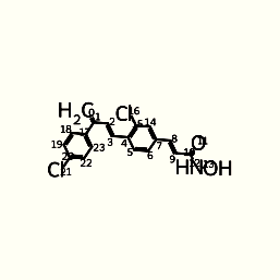 C=C(/C=C/c1ccc(/C=C/C(=O)NO)cc1Cl)c1ccc(Cl)cc1